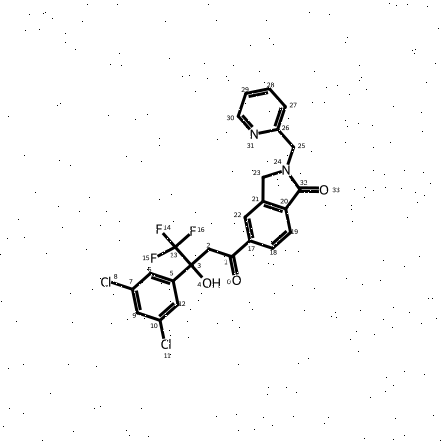 O=C(CC(O)(c1cc(Cl)cc(Cl)c1)C(F)(F)F)c1ccc2c(c1)CN(Cc1ccccn1)C2=O